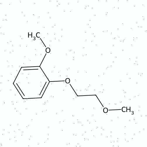 COCCOc1ccccc1OC